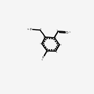 O=Cc1ccc(F)cc1CF